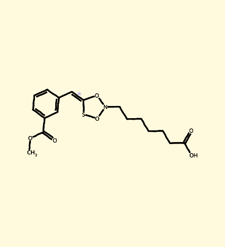 COC(=O)c1cccc(/C=C2/ON(CCCCCCC(=O)O)OS2)c1